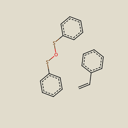 C=Cc1ccccc1.c1ccc(SOSc2ccccc2)cc1